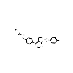 Cc1ccc(S(=O)(=O)n2ccc3c(-c4ccc(CNC(=O)OC(C)(C)C)cc4)ncnc32)cc1